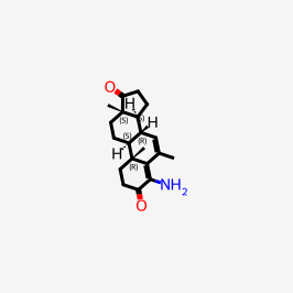 CC1=C[C@@H]2[C@H](CC[C@]3(C)C(=O)CC[C@@H]23)[C@@]2(C)CCC(=O)C(N)=C12